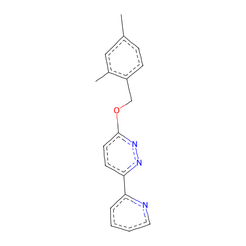 Cc1ccc(COc2ccc(-c3ccccn3)nn2)c(C)c1